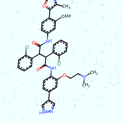 COc1cc(NC(=O)C(c2ccccc2Cl)C(C(=O)Nc2ccc(-c3cn[nH]c3)cc2OCCN(C)C)c2ccccc2Cl)ccc1-c1ocnc1C